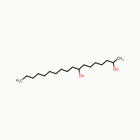 CCCCCCCCCCC(O)CCCCCC(C)O